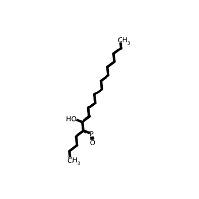 CCCCCCCCCCCCC(O)C(CCCC)P=O